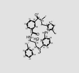 Cc1csc(CN(C)C(=O)c2cccc(C(=O)N[C@@H](Cc3ccccc3)[C@H](O)CN(C)c3cccc(C(C)C)n3)c2)n1